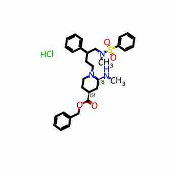 CN[C@H]1C[C@@H](C(=O)OCc2ccccc2)CCN1CCC(CN(C)S(=O)(=O)c1ccccc1)c1ccccc1.Cl